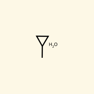 CC1CC1.O